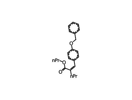 CCCOC(=O)C(=Cc1ccc(OCc2ccccc2)cc1)CCC